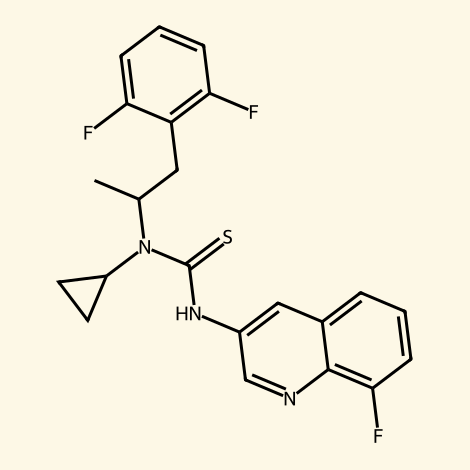 CC(Cc1c(F)cccc1F)N(C(=S)Nc1cnc2c(F)cccc2c1)C1CC1